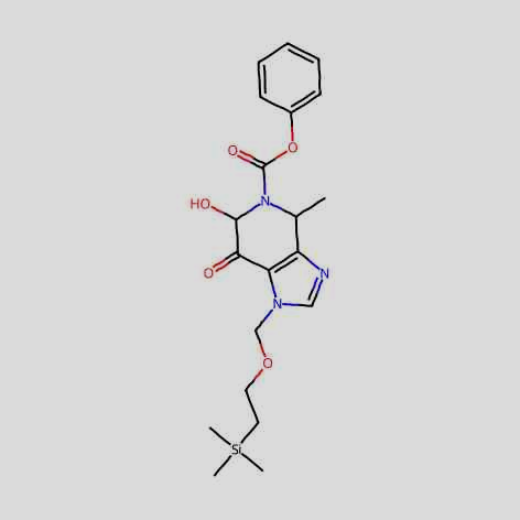 CC1c2ncn(COCC[Si](C)(C)C)c2C(=O)C(O)N1C(=O)Oc1ccccc1